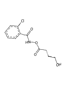 O=C(CCCO)ONC(=O)c1ccccc1Cl